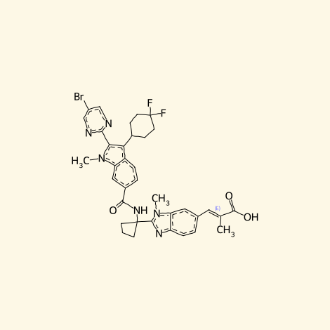 C/C(=C\c1ccc2nc(C3(NC(=O)c4ccc5c(C6CCC(F)(F)CC6)c(-c6ncc(Br)cn6)n(C)c5c4)CCC3)n(C)c2c1)C(=O)O